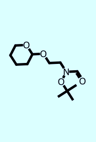 CC(C)(C)ON(C=O)CCOC1CCCCO1